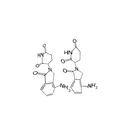 Nc1cccc2c1CN(C1CCC(=O)NC1=O)C2=O.Nc1cccc2c1CN(C1CCC(=O)NC1=O)C2=O